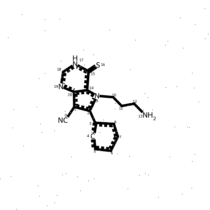 N#Cc1c(-c2ccccc2)n(CCCN)c2c(=S)[nH]cnc12